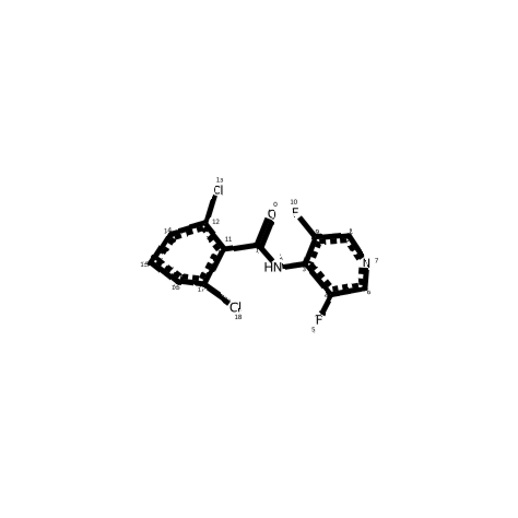 O=C(Nc1c(F)cncc1F)c1c(Cl)cccc1Cl